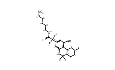 CC1=CCC2C(C1)c1c(O)cc(C(F)(F)C(=O)OCCCCO[N+](=O)[O-])cc1OC2(C)C